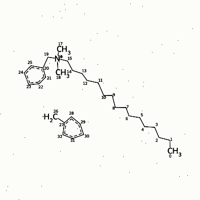 CCCCCCCCCCCCCCCC[N+](C)(C)Cc1ccccc1.[CH2]c1ccccc1